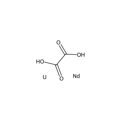 O=C(O)C(=O)O.[Nd].[U]